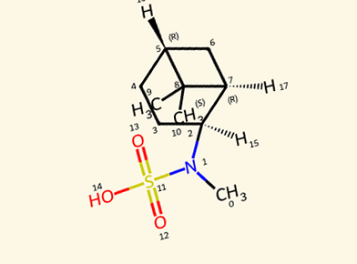 CN([C@H]1CC[C@@H]2C[C@@H]1C2(C)C)S(=O)(=O)O